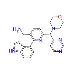 NCc1ccc(C(c2ccncn2)N2CCOCC2)nc1-c1cccc2[nH]ccc12